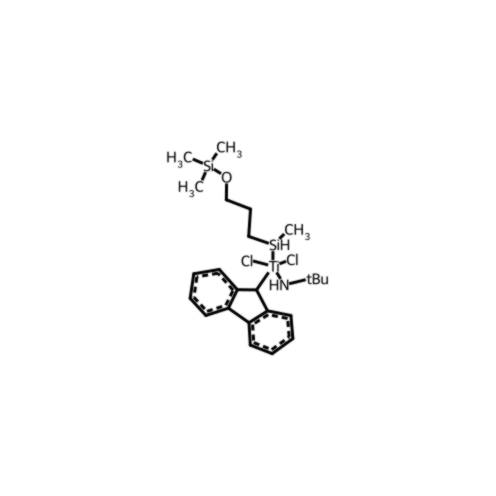 C[SiH](CCCO[Si](C)(C)C)[Ti]([Cl])([Cl])([NH]C(C)(C)C)[CH]1c2ccccc2-c2ccccc21